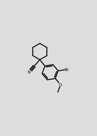 COc1ccc(C2(C#N)CCCCC2)cc1Br